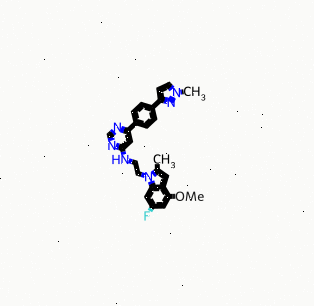 COc1cc(F)cc2c1cc(C)n2CCNc1cc(-c2ccc(-c3ccn(C)n3)cc2)ncn1